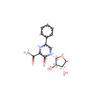 NC(=O)c1nc(-c2ccccc2)cn([C@@H]2O[CH][C@H](O)[C@H]2O)c1=O